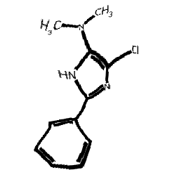 CN(C)c1[nH]c(-c2ccccc2)nc1Cl